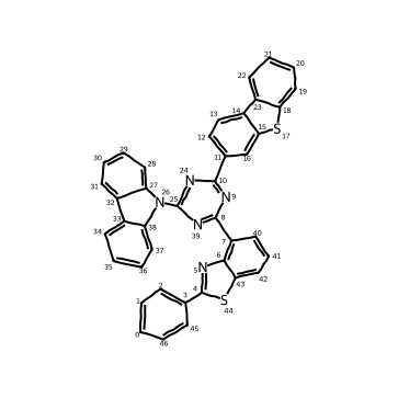 c1ccc(-c2nc3c(-c4nc(-c5ccc6c(c5)sc5ccccc56)nc(-n5c6ccccc6c6ccccc65)n4)cccc3s2)cc1